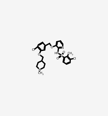 Cc1c(Cl)cccc1S(=O)(=O)Nc1ncccc1OCc1ccc(Cl)c(OCC2CCN(C)CC2)c1